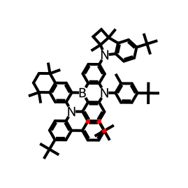 Cc1cc(C(C)(C)C)ccc1N1c2cc(N3c4ccc(C(C)(C)C)cc4C4(C)CCC34C)ccc2B2c3cc4c(cc3N(c3ccc(C(C)(C)C)cc3-c3ccccc3)c3cc(C(C)(C)C)cc1c32)C(C)(C)CCC4(C)C